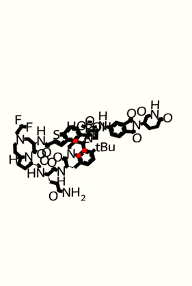 CC(C)(C)c1ccc(C[C@H](NC(=O)[C@H](CCC(N)=O)NC(=O)[C@@H]2CC[C@@H]3CCN(CC(F)F)C[C@H](NC(=O)c4cc5cc(C(F)(F)P(=O)(O)O)ccc5s4)C(=O)N32)C(=O)N2CCC(N3CC(Nc4ccc5c(c4)C(=O)N(C4CCC(=O)NC4=O)C5=O)C3)CC2)cc1